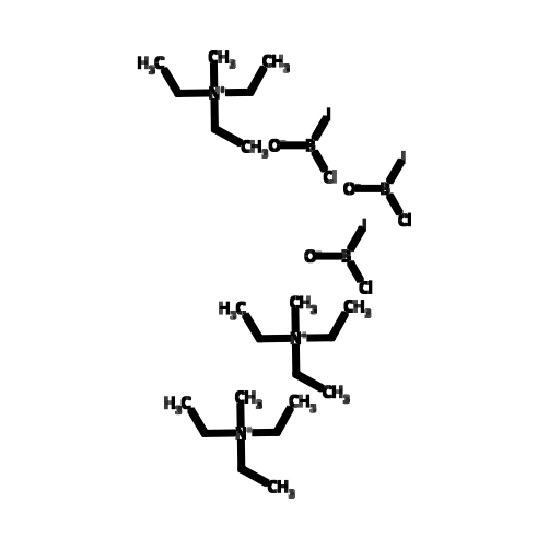 CC[N+](C)(CC)CC.CC[N+](C)(CC)CC.CC[N+](C)(CC)CC.[O-]B(Cl)I.[O-]B(Cl)I.[O-]B(Cl)I